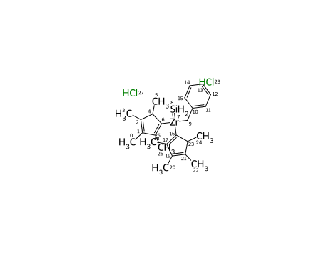 CC1=C(C)C(C)[C]([Zr](=[SiH2])([CH2]c2ccccc2)[C]2=C(C)C(C)=C(C)C2C)=C1C.Cl.Cl